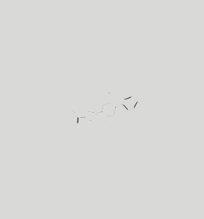 COc1ccccc1C1CCC(N2CC(C(N)=O)C2)CC1.Cl